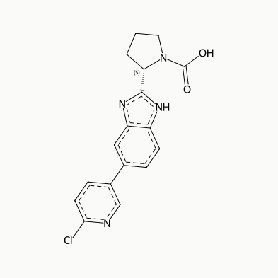 O=C(O)N1CCC[C@H]1c1nc2cc(-c3ccc(Cl)nc3)ccc2[nH]1